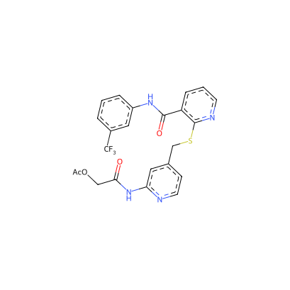 CC(=O)OCC(=O)Nc1cc(CSc2ncccc2C(=O)Nc2cccc(C(F)(F)F)c2)ccn1